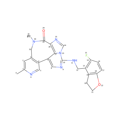 Cc1cc2c(cn1)-c1cnc(NCc3c(F)ccc4c3CCO4)n3cnc(c13)C(=O)N(C(C)C)C2